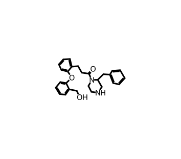 O=C(CCc1ccccc1Oc1ccccc1CO)N1CCNCC1Cc1ccccc1